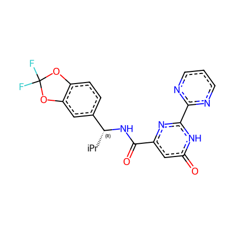 CC(C)[C@@H](NC(=O)c1cc(=O)[nH]c(-c2ncccn2)n1)c1ccc2c(c1)OC(F)(F)O2